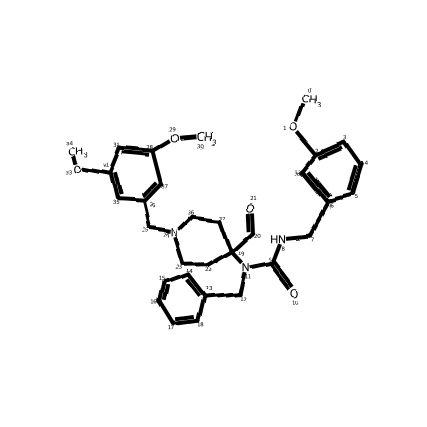 COc1cccc(CNC(=O)N(Cc2ccccc2)C2(C=O)CCN(Cc3cc(OC)cc(OC)c3)CC2)c1